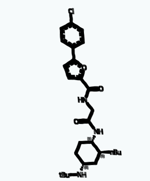 CCCC[C@H]1C[C@H](NC(C)(C)C)CC[C@@H]1NC(=O)CNC(=O)c1ccc(-c2ccc(Cl)cc2)o1